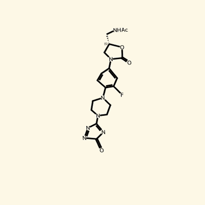 CC(=O)NC[C@H]1CN(c2ccc(N3CCN(C4=NC(=O)N=N4)CC3)c(F)c2)C(=O)O1